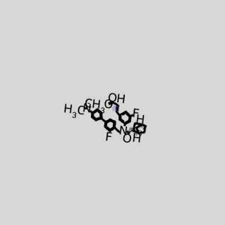 CN(C)c1ccc(-c2ccc(CN(C(=O)[C@@H]3C[C@@H]4CC[C@H]3C4)c3cc(F)cc(/C=C/C(=O)O)c3)c(F)c2)cc1